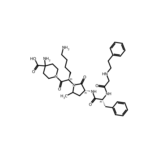 CC1C[C@@H](NC(=O)[C@@H](Cc2ccccc2)NC(=O)CNCCc2ccccc2)C(=O)N1[C@H](CCCCN)C(=O)N1CCC(N)(C(=O)O)CC1